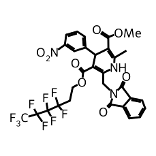 COC(=O)C1=C(C)NC(CN2C(=O)c3ccccc3C2=O)=C(C(=O)OCCC(F)(F)C(F)(F)C(F)(F)C(F)(F)F)C1c1cccc([N+](=O)[O-])c1